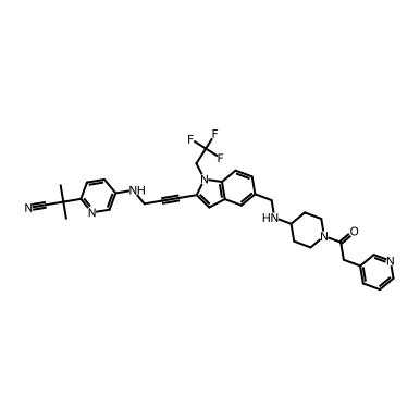 CC(C)(C#N)c1ccc(NCC#Cc2cc3cc(CNC4CCN(C(=O)Cc5cccnc5)CC4)ccc3n2CC(F)(F)F)cn1